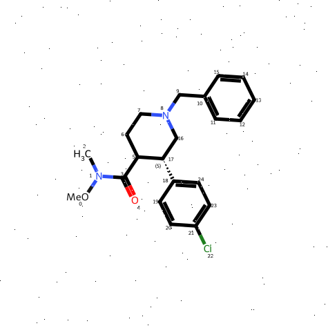 CON(C)C(=O)C1CCN(Cc2ccccc2)C[C@@H]1c1ccc(Cl)cc1